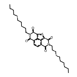 CCCCCCCCCCN1C(=O)c2ccc3c4c(sc(c24)C1=O)C(=O)N(CCCCCCCCCC)C3=O